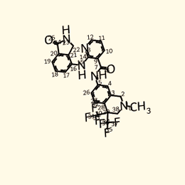 CN1Cc2cc(NC(=O)c3cccnc3Nc3cccc4c3CNC4=O)ccc2C(C(F)(F)F)(C(F)(F)F)C1